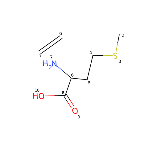 C=C.CSCCC(N)C(=O)O